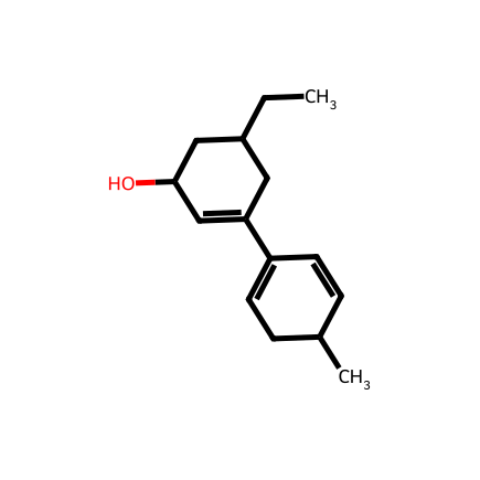 CCC1CC(C2=CCC(C)C=C2)=CC(O)C1